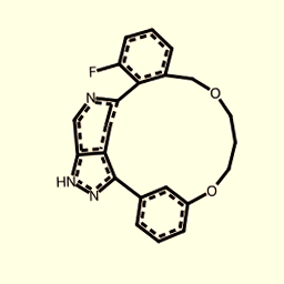 Fc1cccc2c1-c1cc3c(n[nH]c3cn1)-c1cccc(c1)OCCCOC2